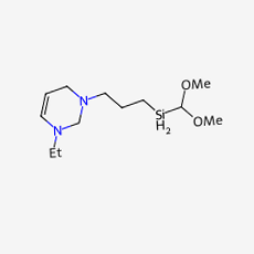 CCN1C=CCN(CCC[SiH2]C(OC)OC)C1